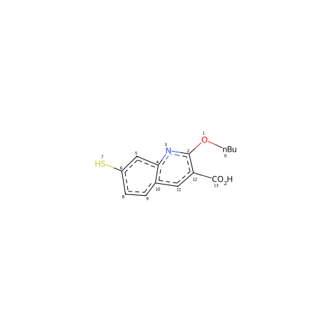 CCCCOc1nc2cc(S)ccc2cc1C(=O)O